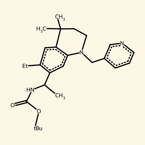 CCc1cc2c(cc1C(C)NC(=O)OC(C)(C)C)N(Cc1cccnc1)CCC2(C)C